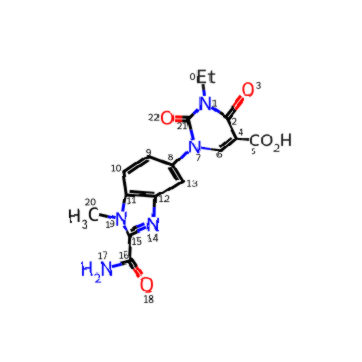 CCn1c(=O)c(C(=O)O)cn(-c2ccc3c(c2)nc(C(N)=O)n3C)c1=O